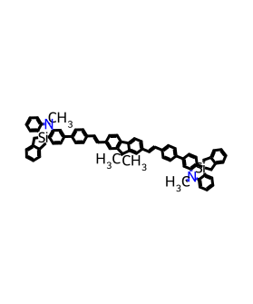 CN1c2ccccc2[Si]2(Cc3ccccc3C2)c2ccc(-c3ccc(/C=C/c4ccc5c(c4)C(C)(C)c4cc(/C=C/c6ccc(-c7ccc8c(c7)N(C)c7ccccc7[Si]87Cc8ccccc8C7)cc6)ccc4-5)cc3)cc21